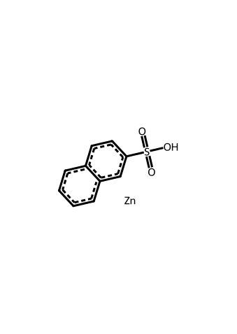 O=S(=O)(O)c1ccc2ccccc2c1.[Zn]